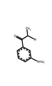 CC(=O)Nc1cccc(C(=O)C(C)Br)c1